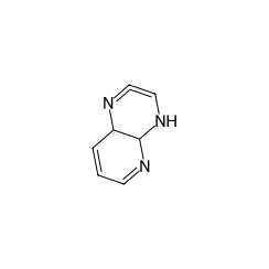 C1=CNC2N=CC=CC2N=1